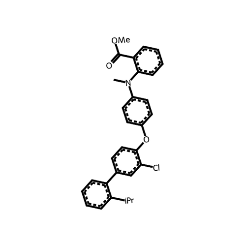 COC(=O)c1ccccc1N(C)c1ccc(Oc2ccc(-c3ccccc3C(C)C)cc2Cl)cc1